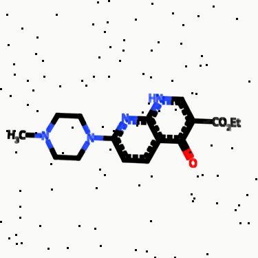 CCOC(=O)c1c[nH]c2nc(N3CCN(C)CC3)ccc2c1=O